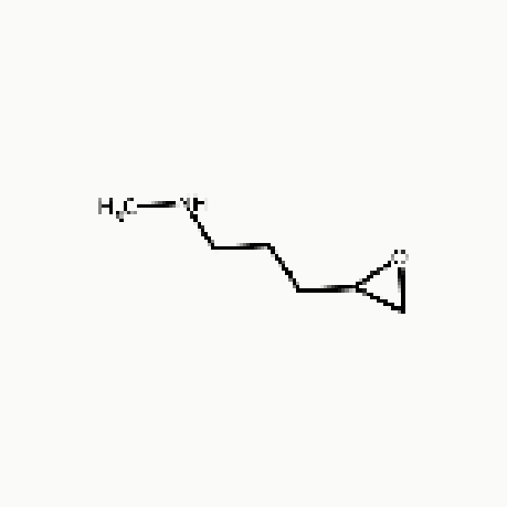 CNCCCC1CO1